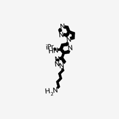 CC(C)Nc1cc(-n2ccc3cncnc32)ncc1-c1cn(CCCCCN)nn1